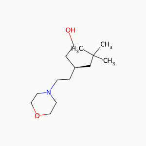 CC(C)(C)C[C@H](CCO)CCN1CCOCC1